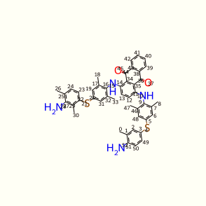 Cc1cc(Sc2cc(C)c(Nc3ccc(Nc4c(C)cc(Sc5ccc(C)c(N)c5C)cc4C)c4c3C(=O)c3ccccc3C4=O)c(C)c2)ccc1N